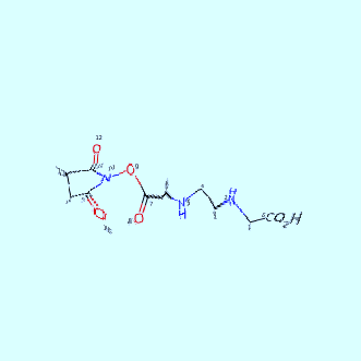 O=C(O)CNCCNCC(=O)ON1C(=O)CCC1=O